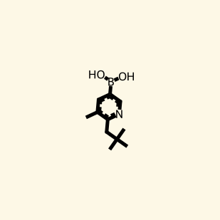 Cc1cc(B(O)O)cnc1CC(C)(C)C